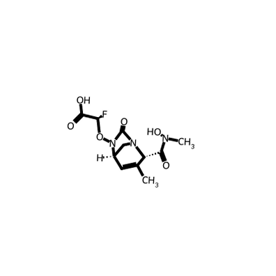 CC1=C[C@@H]2CN(C(=O)N2O[C@H](F)C(=O)O)[C@@H]1C(=O)N(C)O